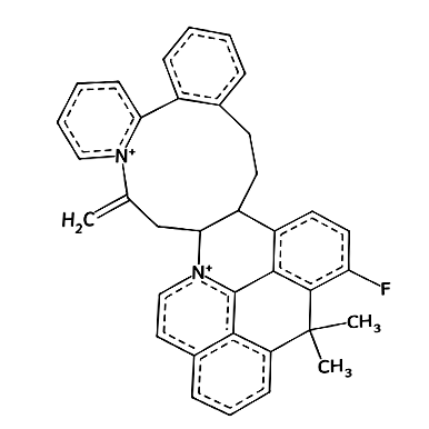 C=C1CC2C(CCc3ccccc3-c3cccc[n+]31)c1ccc(F)c3c1-c1c4c(cccc4cc[n+]12)C3(C)C